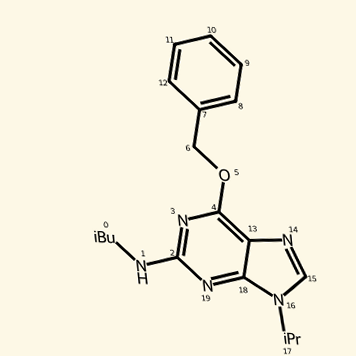 CCC(C)Nc1nc(OCc2ccccc2)c2ncn(C(C)C)c2n1